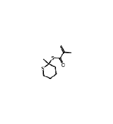 C=C(C)C(=O)SC1(C)CCCCS1